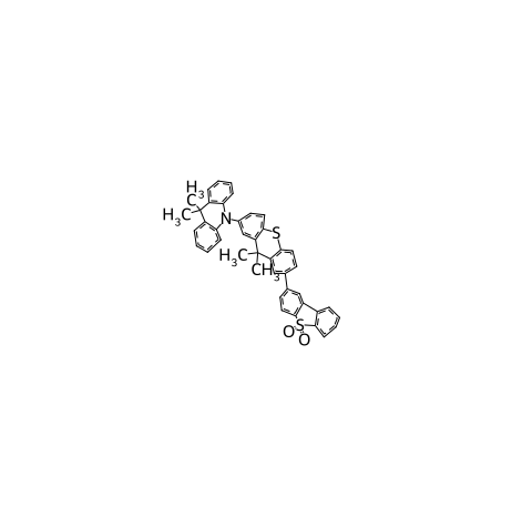 CC1(C)c2cc(-c3ccc4c(c3)-c3ccccc3S4(=O)=O)ccc2Sc2ccc(N3c4ccccc4C(C)(C)c4ccccc43)cc21